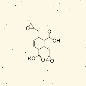 O=C(O)C1C=CC(CC2CO2)C(C(=O)O)C1CC1CO1